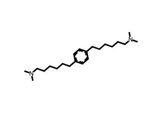 CN(C)CCCCCCc1ccc(CCCCCCN(C)C)cc1